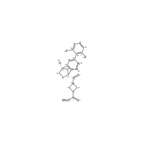 COC(=O)C1CN(C(=O)[C@]23CC[C@H](C2)c2cc(-c4c(F)cccc4F)nnc23)C1